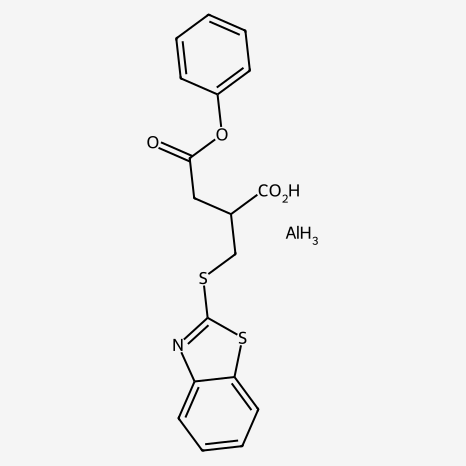 O=C(CC(CSc1nc2ccccc2s1)C(=O)O)Oc1ccccc1.[AlH3]